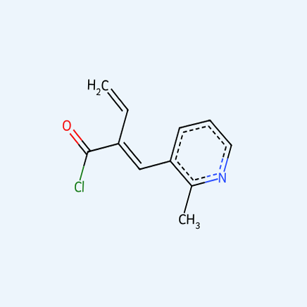 C=C/C(=C\c1cccnc1C)C(=O)Cl